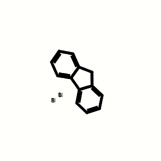 [B].[B].c1ccc2c(c1)Cc1ccccc1-2